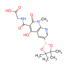 Cn1c(=O)c(C(=O)NCC(=O)O)c(O)c2cc(B3OC(C)(C)C(C)(C)O3)cnc21